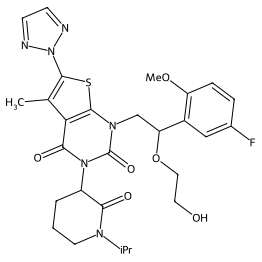 COc1ccc(F)cc1C(Cn1c(=O)n(C2CCCN(C(C)C)C2=O)c(=O)c2c(C)c(-n3nccn3)sc21)OCCO